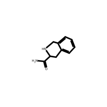 NC(=O)C1Cc2ccccc2CN1